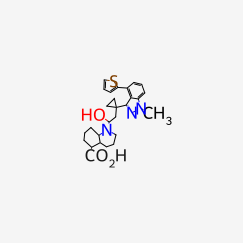 Cn1nc(C2(CC(O)N3CCCC4C(C(=O)O)CCCC43)CC2)c2c(-c3cccs3)cccc21